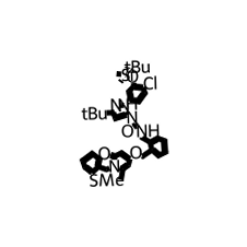 CSc1ccccc1Cn1c(C)cc(OCc2ccccc2CNC(=O)Nc2cc(C(C)(C)C)nn2-c2ccc(Cl)c(O[Si](C)(C)C(C)(C)C)c2)cc1=O